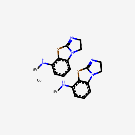 CC(C)Nc1cccc2c1SC1=NCCN12.CC(C)Nc1cccc2c1SC1=NCCN12.[Cu]